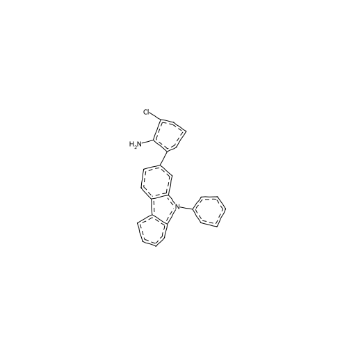 Nc1c(Cl)cccc1-c1ccc2c3ccccc3n(-c3ccccc3)c2c1